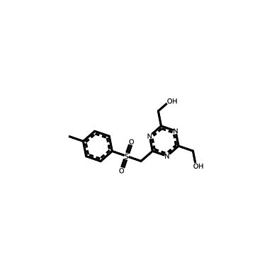 Cc1ccc(S(=O)(=O)Cc2nc(CO)nc(CO)n2)cc1